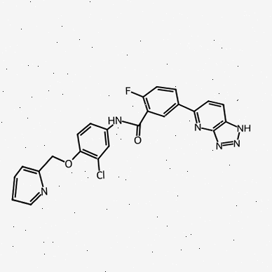 O=C(Nc1ccc(OCc2ccccn2)c(Cl)c1)c1cc(-c2ccc3[nH]nnc3n2)ccc1F